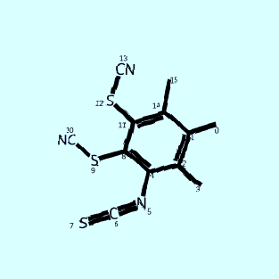 Cc1c(C)c(N=C=S)c(SC#N)c(SC#N)c1C